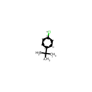 BC(C)(C)c1ccc(Cl)cc1